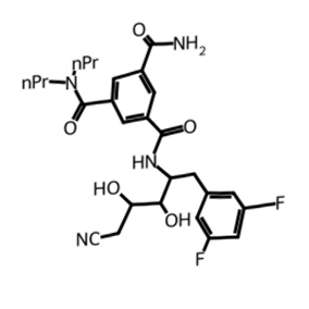 CCCN(CCC)C(=O)c1cc(C(N)=O)cc(C(=O)NC(Cc2cc(F)cc(F)c2)C(O)C(O)CC#N)c1